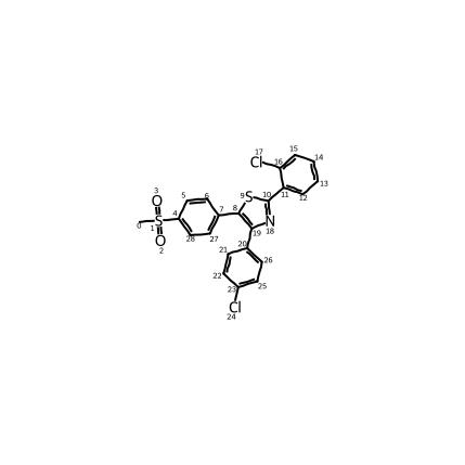 CS(=O)(=O)c1ccc(-c2sc(-c3ccccc3Cl)nc2-c2ccc(Cl)cc2)cc1